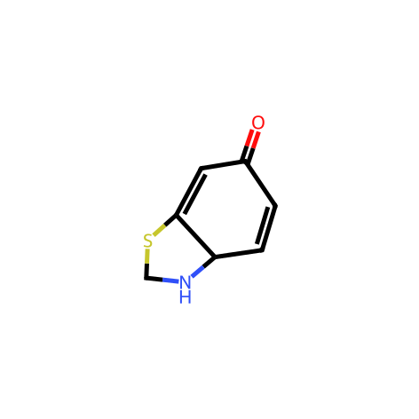 O=C1C=CC2NCSC2=C1